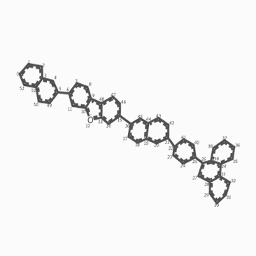 c1ccc2cc(-c3ccc4c(c3)oc3cc(-c5ccc6cc(-c7ccc(-c8cc9ccccc9c9ccccc89)cc7)ccc6c5)ccc34)ccc2c1